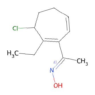 CCC1=C(/C(C)=N/O)C=CCCC1Cl